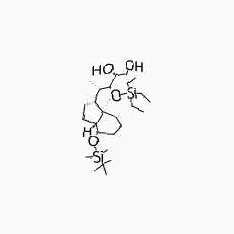 CC[Si](CC)(CC)O[C@@H]([C@@H](C)[C@H]1CC[C@H]2[C@@H](O[Si](C)(C)C(C)(C)C)CCC[C@]12C)[C@@H](O)CO